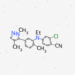 CCN(c1ccc(C#N)c(Cl)c1)c1cc(-c2c(C)cnn2C)ccc1C